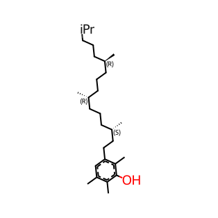 Cc1cc(CC[C@@H](C)CCC[C@H](C)CCC[C@H](C)CCCC(C)C)c(C)c(O)c1C